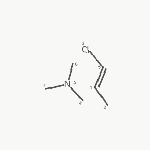 CC=CCl.CN(C)C